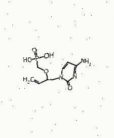 C=CC(Cn1ccc(N)nc1=O)OCP(=O)(O)O